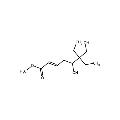 CCC(CC)(CO)C(O)C/C=C/C(=O)OC